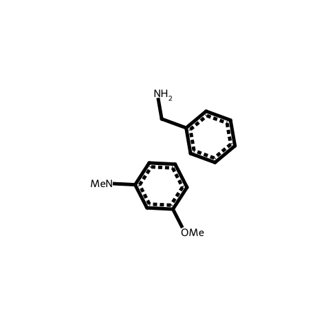 CNc1cccc(OC)c1.NCc1ccccc1